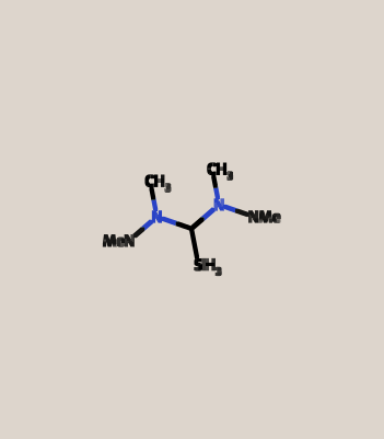 CNN(C)C([SiH3])N(C)NC